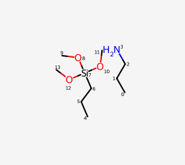 CCCN.CCC[Si](OC)(OC)OC